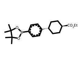 CCOC(=O)[C@H]1CC[C@H](c2ccc(B3OC(C)(C)C(C)(C)O3)cc2)CC1